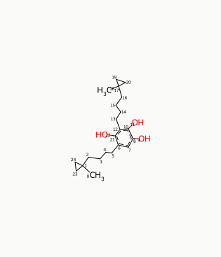 CC1(CCCCc2cc(O)c(O)c(CCCCC3(C)CC3)c2O)CC1